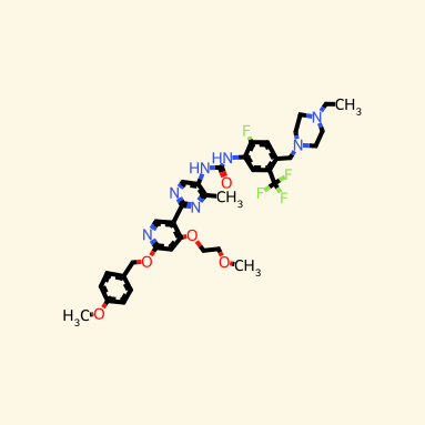 CCN1CCN(Cc2cc(F)c(NC(=O)Nc3cnc(-c4cnc(OCc5ccc(OC)cc5)cc4OCCOC)nc3C)cc2C(F)(F)F)CC1